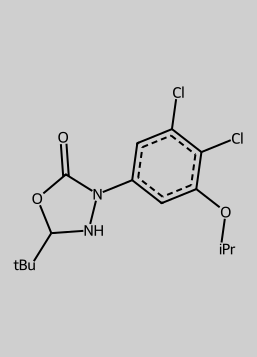 CC(C)Oc1cc(N2NC(C(C)(C)C)OC2=O)cc(Cl)c1Cl